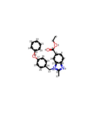 CCOC(=O)c1ccc2nc(C)n(Cc3ccc(Oc4ccccc4)cc3)c2c1